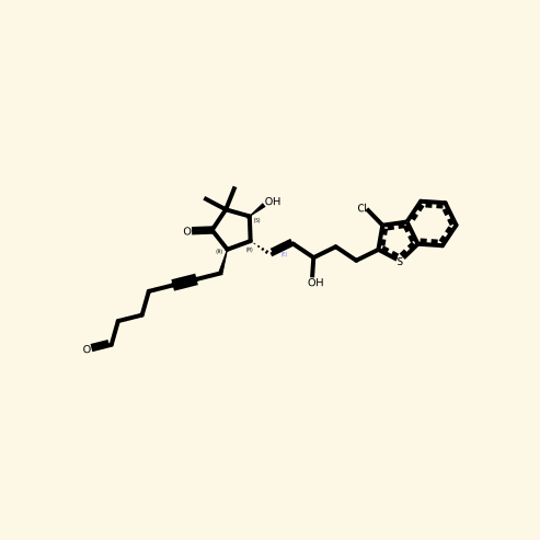 CC1(C)C(=O)[C@H](CC#CCCCC=O)[C@@H](/C=C/C(O)CCc2sc3ccccc3c2Cl)[C@@H]1O